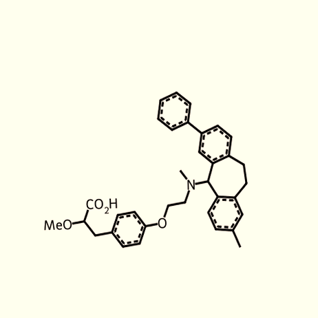 COC(Cc1ccc(OCCN(C)C2c3ccc(C)cc3CCc3ccc(-c4ccccc4)cc32)cc1)C(=O)O